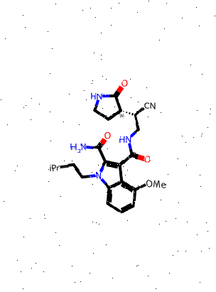 COc1cccc2c1c(C(=O)NCC(C#N)[C@@H]1CCNC1=O)c(C(N)=O)n2CCC(C)C